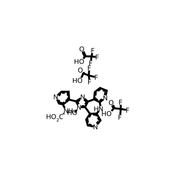 O=C(O)C(F)(F)F.O=C(O)C(F)(F)F.O=C(O)C(F)(F)F.O=C(O)Nc1cnccc1-c1nc2c(n1O)-c1ccncc1Nc1ncccc1-2